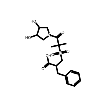 CC(C)(C(=O)N1CC(O)C(O)C1)S(=O)(=O)CC(Cc1ccccc1)C(=O)O